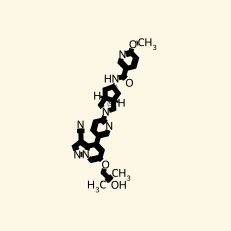 COc1ccc(C(=O)N[C@@H]2C[C@@H]3CN(c4ccc(-c5cc(OCC(C)(C)O)cn6ncc(C#N)c56)cn4)C[C@@H]3C2)cn1